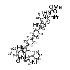 COC(=O)N[C@H](C(=O)N1CCC[C@H]1c1ncc(-c2ccc(-c3ccc(-c4cnc(C5C6CCC(C6)[C@@H]5C(=O)NCC5CNc6ccccc6C5)[nH]4)cc3)cc2)[nH]1)C(C)C